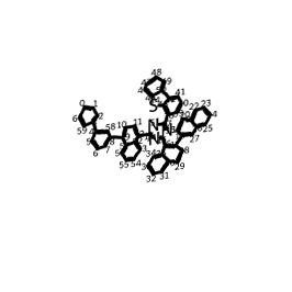 c1ccc(-c2cccc(-c3ccc(-c4nc(-c5c(-c6ccc7ccccc7c6)ccc6ccccc56)nc(-c5cccc6c5sc5ccccc56)n4)c4ccccc34)c2)cc1